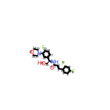 O=C(/C=C/c1ccc(F)cc1F)N[C@@H](CO)c1ccc(F)c(N2CCOCC2)c1